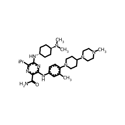 Cc1cc(Nc2nc(N[C@H]3CC[C@H](N(C)C)CC3)c(C(C)C)nc2C(N)=O)ccc1N1CCC(N2CCN(C)CC2)CC1